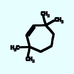 CC1(C)C=CC(C)(C)CCC1